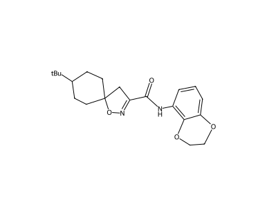 CC(C)(C)C1CCC2(CC1)CC(C(=O)Nc1cccc3c1OCCO3)=NO2